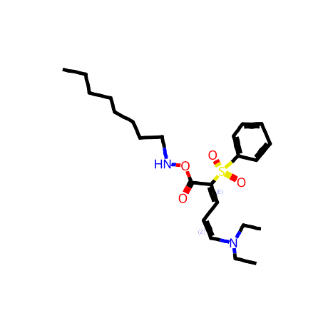 CCCCCCCCNOC(=O)/C(=C\C=C/N(CC)CC)S(=O)(=O)c1ccccc1